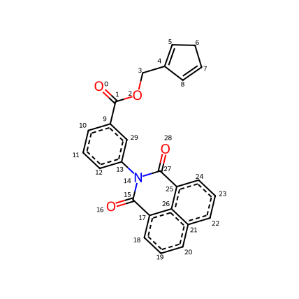 O=C(OCC1=CCC=C1)c1cccc(N2C(=O)c3cccc4cccc(c34)C2=O)c1